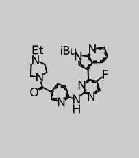 CCC(C)n1cc(-c2nc(Nc3ccc(C(=O)N4CCN(CC)CC4)cn3)ncc2F)c2cccnc21